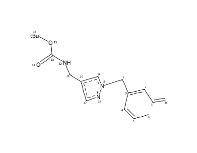 C=C/C=C(\C=C/C)Cn1cc(CNC(=O)OC(C)(C)C)cn1